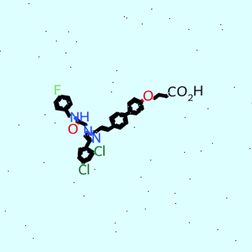 O=C(O)CCCOc1ccc(-c2ccc(C=Cc3nc(-c4ccc(Cl)cc4Cl)cn3CC(=O)NCc3ccc(F)cc3)cc2)cc1